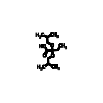 CCC(OCC(C)C)(OCC(C)C)C(=O)O